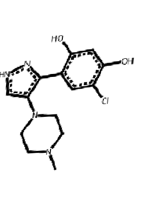 CN1CCN(c2c[nH]nc2-c2cc(Cl)c(O)cc2O)CC1